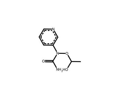 CC(O)ON(C(N)=O)c1cccnc1